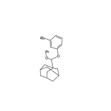 CCC(C)c1cccc(OC(OC(C)C)C23CC4CC(CC(C4)C2)C3)c1